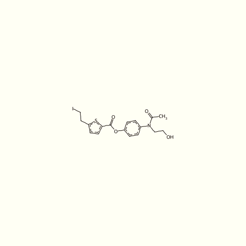 CC(=O)N(CCO)c1ccc(OC(=O)c2ccc(CCI)s2)cc1